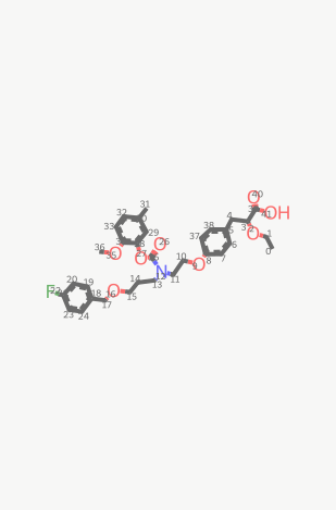 CCOC(Cc1ccc(OCCN(CCCOCc2ccc(F)cc2)C(=O)Oc2cc(C)ccc2OC)cc1)C(=O)O